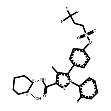 Cc1c(C(=O)N[C@H]2CCCC[C@H]2O)nn(-c2ccccc2Cl)c1-c1ccc(OS(=O)(=O)CCC(F)(F)F)cc1